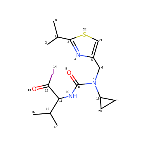 CC(C)c1nc(CN(C(=O)NC(C(=O)I)C(C)C)C2CC2)cs1